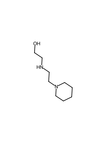 OCCNCCN1CCCCC1